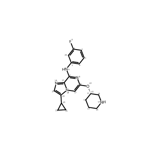 Fc1cccc(Nc2nc(O[C@H]3CCCNC3)cn3c(C4CC4)cnc23)c1